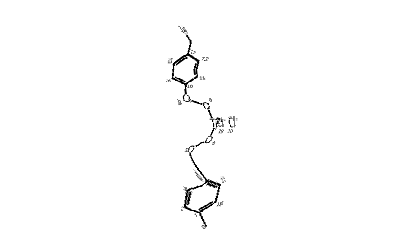 Cc1ccc(O[O][Ti+2][O]Oc2ccc(C)cc2)cc1.[Cl-].[Cl-]